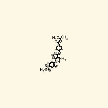 CC(C)OC(=O)N1CCC(Oc2ncnc(Nc3ccc(S(C)(=O)=O)cc3F)c2N)CC1